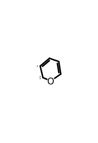 [C]1[C]=CC=CO1